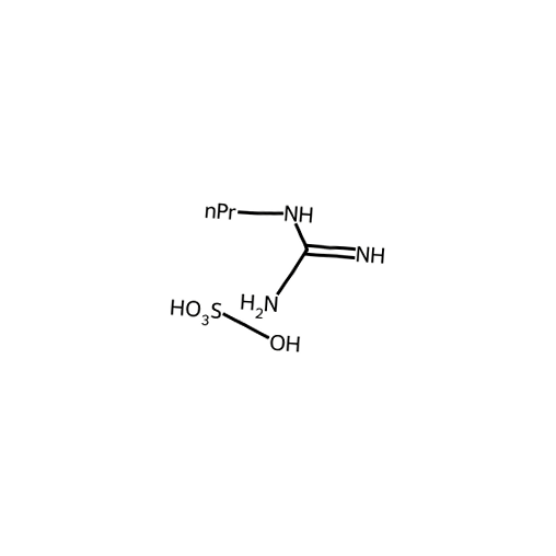 CCCNC(=N)N.O=S(=O)(O)O